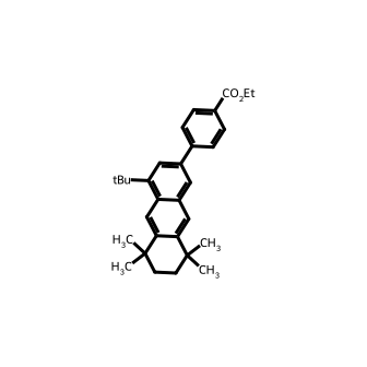 CCOC(=O)c1ccc(-c2cc(C(C)(C)C)c3cc4c(cc3c2)C(C)(C)CCC4(C)C)cc1